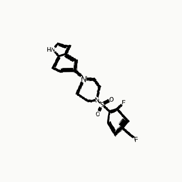 O=S(=O)(c1ccc(F)cc1F)N1CCN(c2ccc3[nH]ccc3c2)CC1